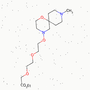 CCOC(=O)COCCOCCON1CCOC2(CCN(C)CC2)C1